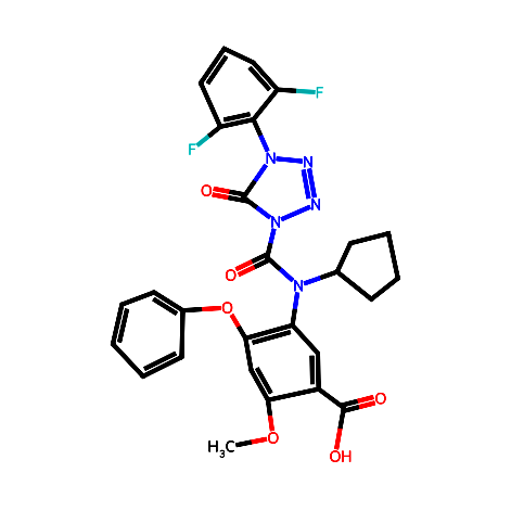 COc1cc(Oc2ccccc2)c(N(C(=O)n2nnn(-c3c(F)cccc3F)c2=O)C2CCCC2)cc1C(=O)O